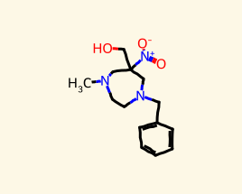 CN1CCN(Cc2ccccc2)CC(CO)([N+](=O)[O-])C1